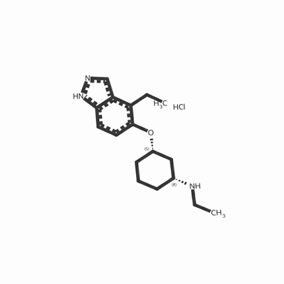 CCN[C@@H]1CCC[C@H](Oc2ccc3[nH]ncc3c2CC)C1.Cl